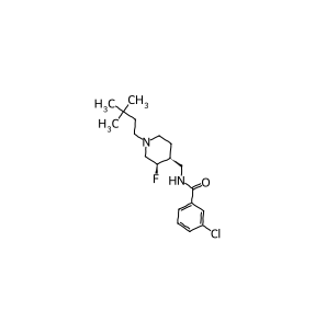 CC(C)(C)CCN1CC[C@@H](CNC(=O)c2cccc(Cl)c2)[C@@H](F)C1